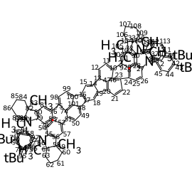 CC(C)(C)c1ccc(N2c3ccc(-c4ccc5c6cc7c(cc6c6ccc(-c8ccc9c(c8)C8(C)CCCCC8(C)N9c8ccc(C(C)(C)C)cc8)c4c56)c4ccc(-c5ccc6c(c5)C5(C)CCCCC5(C)N6c5ccc(C(C)(C)C)cc5)c5c(-c6ccc8c(c6)C6(C)CCCCC6(C)N8c6ccc(C(C)(C)C)cc6)ccc7c54)cc3C3(C)CCCCC23C)cc1